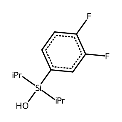 CC(C)[Si](O)(c1ccc(F)c(F)c1)C(C)C